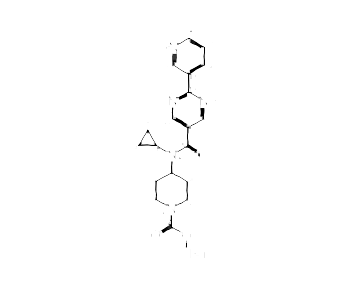 CC(C)(C)OC(=O)N1CCC(N(C(=O)c2cnc(-c3cccnc3)nc2)C2CC2)CC1